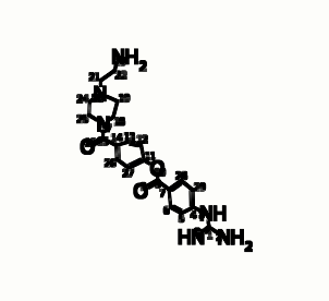 N=C(N)Nc1ccc(C(=O)Oc2ccc(C(=O)N3CCN(CCN)CC3)cc2)cc1